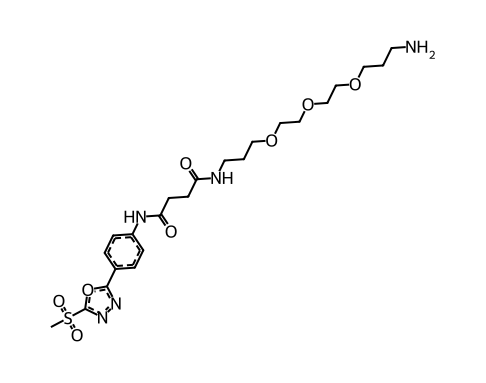 CS(=O)(=O)c1nnc(-c2ccc(NC(=O)CCC(=O)NCCCOCCOCCOCCCN)cc2)o1